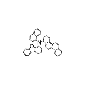 c1ccc2c(N(c3cccc4c3ccc3c5ccccc5ccc43)c3cccc4c3oc3ccccc34)cccc2c1